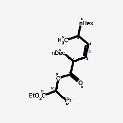 CCCCCCCCCCC(/C=C\C(C)CCCCCC)C(=O)OC(C(=O)OCC)C(C)C